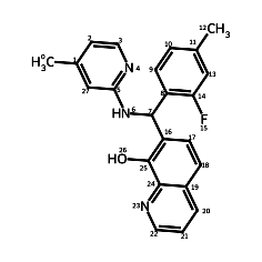 Cc1ccnc(NC(c2ccc(C)cc2F)c2ccc3cccnc3c2O)c1